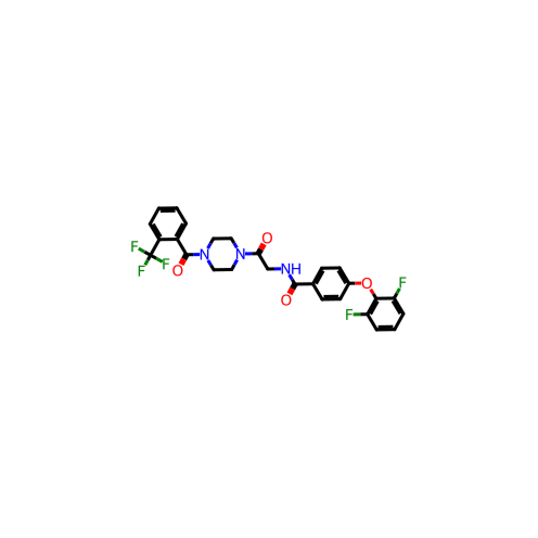 O=C(NCC(=O)N1CCN(C(=O)c2ccccc2C(F)(F)F)CC1)c1ccc(Oc2c(F)cccc2F)cc1